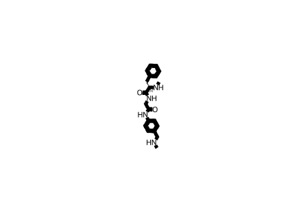 CNCc1ccc(NC(=O)CNC(=O)[C@H](Cc2ccccc2)NC)cc1